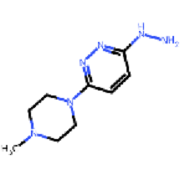 CN1CCN(c2ccc(NN)nn2)CC1